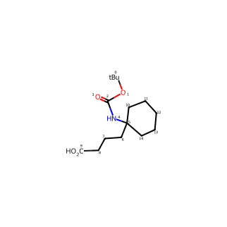 CC(C)(C)OC(=O)NC1(CCCC(=O)O)CCCCC1